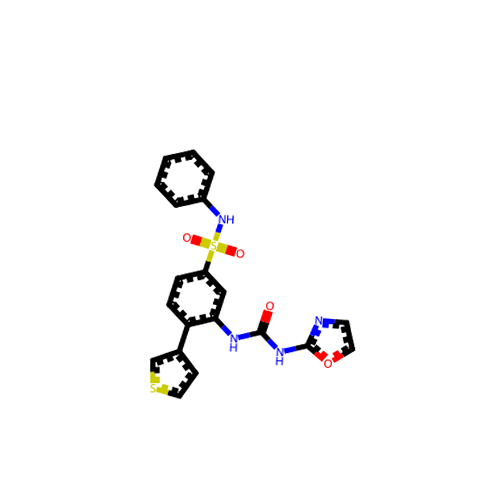 O=C(Nc1ncco1)Nc1cc(S(=O)(=O)Nc2ccccc2)ccc1-c1ccsc1